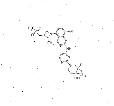 CC(C)c1ccc(N2C[C@H](CS(C)(=O)=O)[C@H]2C)c2cnc(Nc3ccnc(N4CC[C@@](C)(O)C(F)(F)C4)n3)cc12